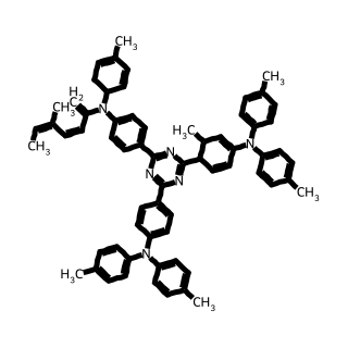 C=C(/C=C\C(C)=C/C)N(c1ccc(-c2nc(-c3ccc(N(c4ccc(C)cc4)c4ccc(C)cc4)cc3)nc(C3C=CC(N(c4ccc(C)cc4)c4ccc(C)cc4)=CC3C)n2)cc1)C1C=CC(C)=CC1